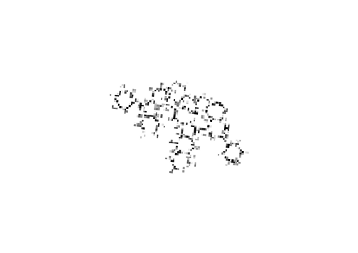 c1ccc(-c2cc3ccc4nc(-c5ccncc5)nc(-n5c6ccc(-c7cccc8c7c7ccccc7n8-c7ccccc7)cc6c6cc7ccccc7cc65)c4c3s2)cc1